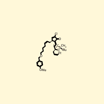 CC/C=C\C[C@@H](C/C=C1/C(=O)C(Cl)=C[C@@H]1C/C=C\CCCCOCc1ccc(OC)cc1)O[Si](C)(C)C(C)(C)C